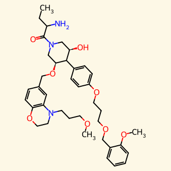 CCC(N)C(=O)N1C[C@@H](O)C(c2ccc(OCCCOCc3ccccc3OC)cc2)[C@@H](OCc2ccc3c(c2)N(CCCOC)CCO3)C1